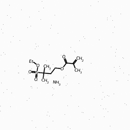 C=C(C)C(=O)OCCC(C)(C)S(=O)(=O)OCC.N